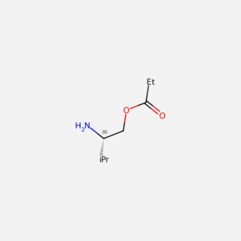 CCC(=O)OC[C@@H](N)C(C)C